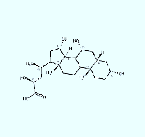 C[C@H](C[C@H](O)C(=O)O)C1C[C@H](O)[C@H]2C3C(CC[C@]12C)[C@@]1(C)CC[C@@H](O)C[C@H]1C[C@H]3O